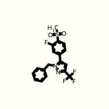 CS(=O)(=O)c1ccc(-c2cc(C(F)(F)F)nn2Cc2ccccc2)cc1F